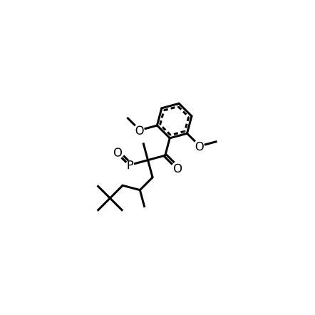 COc1cccc(OC)c1C(=O)C(C)(CC(C)CC(C)(C)C)P=O